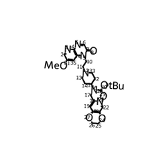 COc1cnc2ncc(=O)n(CCN3CCC(N(Cc4cc5c(cn4)OCCO5)C(=O)OC(C)(C)C)CC3)c2c1